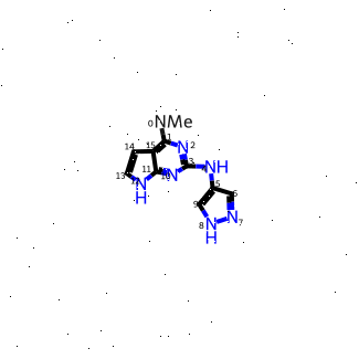 CNc1nc(Nc2cn[nH]c2)nc2[nH]ccc12